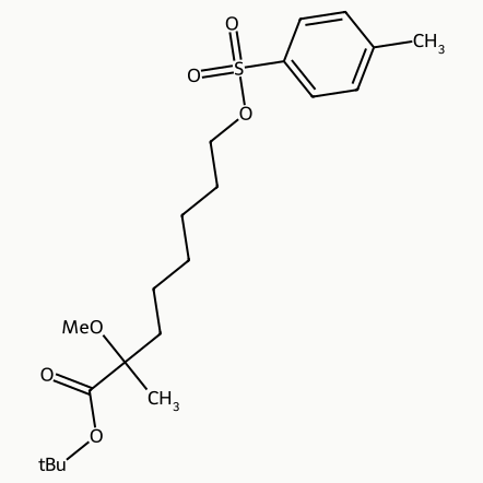 COC(C)(CCCCCCOS(=O)(=O)c1ccc(C)cc1)C(=O)OC(C)(C)C